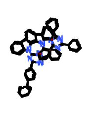 C1=CCC(c2nc(C3=C(n4c5ccccc5c5ccc6c7ccccc7n(-c7nc(-c8ccccc8)nc(-c8ccc(-c9ccccc9)cc8)n7)c6c54)CCC=C3)nc(-c3ccccc3)n2)C=C1